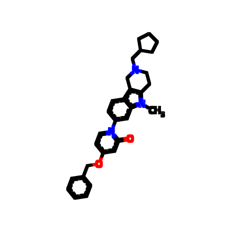 Cn1c2c(c3ccc(-n4ccc(OCc5ccccc5)cc4=O)cc31)CN(CC1CCCC1)CC2